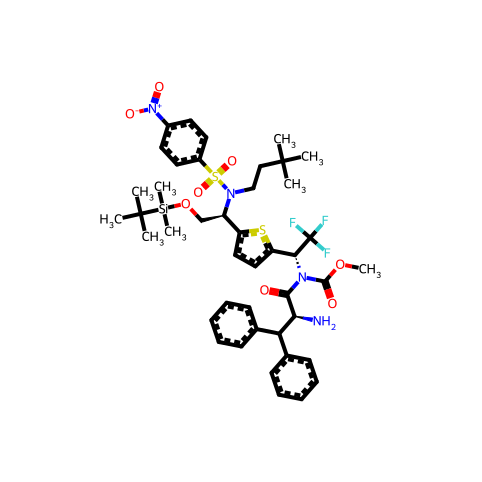 COC(=O)N(C(=O)[C@@H](N)C(c1ccccc1)c1ccccc1)[C@H](c1ccc([C@@H](CO[Si](C)(C)C(C)(C)C)N(CCC(C)(C)C)S(=O)(=O)c2ccc([N+](=O)[O-])cc2)s1)C(F)(F)F